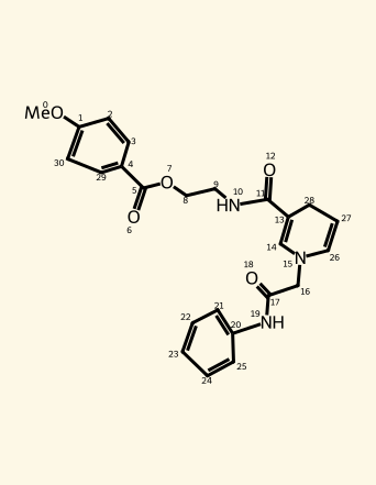 COc1ccc(C(=O)OCCNC(=O)C2=CN(CC(=O)Nc3ccccc3)C=CC2)cc1